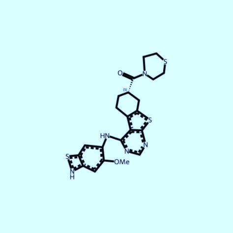 COc1cc2[nH]sc2cc1Nc1ncnc2sc3c(c12)CC[C@H](C(=O)N1CCSCC1)C3